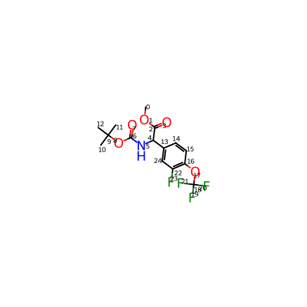 COC(=O)C(NC(=O)OC(C)(C)C)c1ccc(OC(F)(F)F)c(F)c1